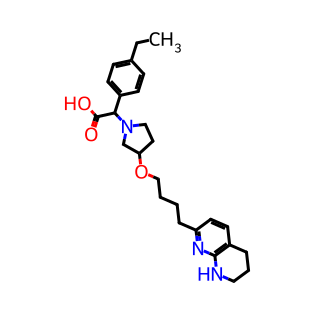 CCc1ccc(C(C(=O)O)N2CCC(OCCCCc3ccc4c(n3)NCCC4)C2)cc1